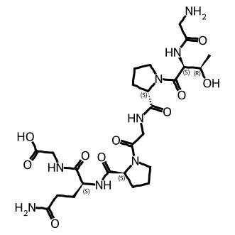 C[C@@H](O)[C@H](NC(=O)CN)C(=O)N1CCC[C@H]1C(=O)NCC(=O)N1CCC[C@H]1C(=O)N[C@@H](CCC(N)=O)C(=O)NCC(=O)O